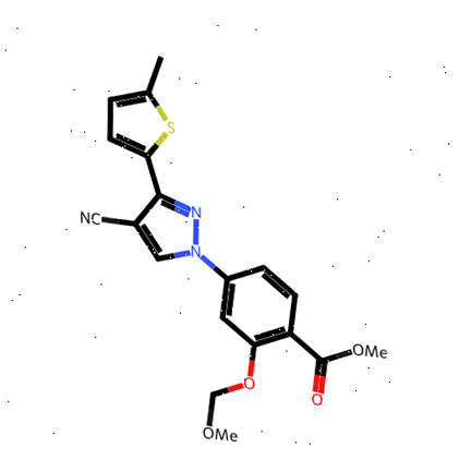 COCOc1cc(-n2cc(C#N)c(-c3ccc(C)s3)n2)ccc1C(=O)OC